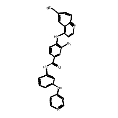 N#Cc1ccc2nccc(Nc3ccc(C(=O)Nc4cccc(Nc5ccncc5)c4)cc3P)c2c1